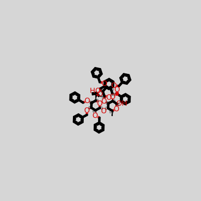 C=CC[C@@]1(O[C@@H]2[C@@H](O[C@H]3O[C@H](COCc4ccccc4)[C@@H](OCc4ccccc4)[C@H](OCc4ccccc4)[C@H]3OCc3ccccc3)[C@H](C)O[C@@H](O)[C@@H]2OC(=O)c2ccccc2)O[C@@H](C)[C@H](OCc2ccccc2)[C@@H](OCc2ccccc2)[C@H]1O